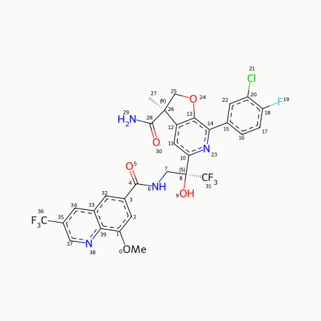 COc1cc(C(=O)NC[C@](O)(c2cc3c(c(-c4ccc(F)c(Cl)c4)n2)OC[C@]3(C)C(N)=O)C(F)(F)F)cc2cc(C(F)(F)F)cnc12